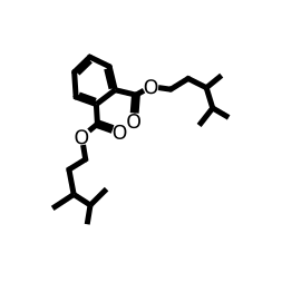 CC(C)C(C)CCOC(=O)c1ccccc1C(=O)OCCC(C)C(C)C